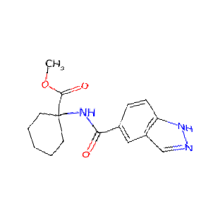 COC(=O)C1(NC(=O)c2ccc3[nH]ncc3c2)CCCCC1